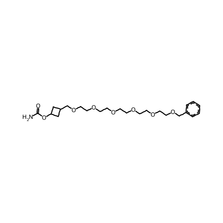 NC(=O)OC1CC(COCCOCCOCCOCCOCCOCc2ccccc2)C1